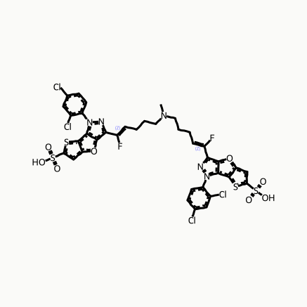 CN(CCC/C=C(\F)c1nn(-c2ccc(Cl)cc2Cl)c2c1oc1cc(S(=O)(=O)O)sc12)CCC/C=C(\F)c1nn(-c2ccc(Cl)cc2Cl)c2c1oc1cc(S(=O)(=O)O)sc12